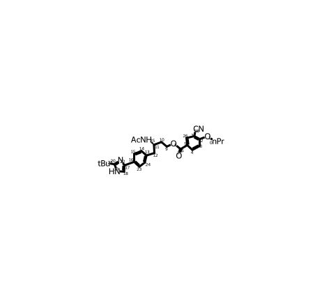 CCCOc1ccc(C(=O)OCC[C@@H](Cc2ccc(-c3c[nH]c(C(C)(C)C)n3)cc2)NC(C)=O)cc1C#N